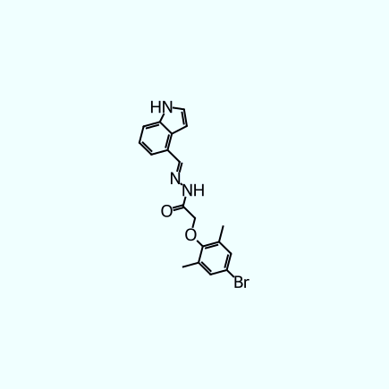 Cc1cc(Br)cc(C)c1OCC(=O)N/N=C/c1cccc2[nH]ccc12